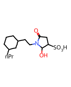 CCCC1CCCC(CCN2C(=O)CC(S(=O)(=O)O)C2O)C1